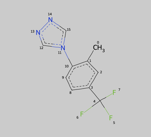 Cc1cc(C(F)(F)F)ccc1-n1cnnc1